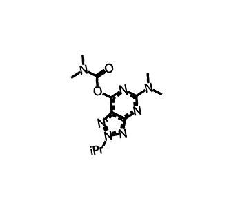 CC(C)n1nc2nc(N(C)C)nc(OC(=O)N(C)C)c2n1